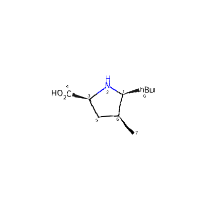 CCCC[C@@H]1N[C@H](C(=O)O)C[C@@H]1C